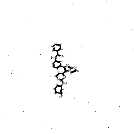 O=C(Nc1cccc(-c2nc3sccn3c2-c2ccnc(Nc3cccc(F)c3)n2)c1)c1ccccc1